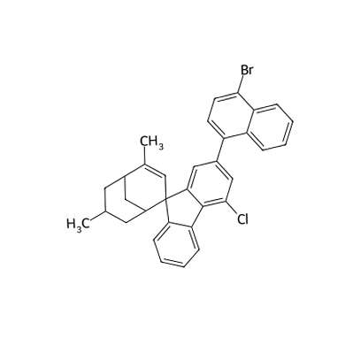 CC1=CC2(c3ccccc3-c3c(Cl)cc(-c4ccc(Br)c5ccccc45)cc32)C2CC(C)CC1C2